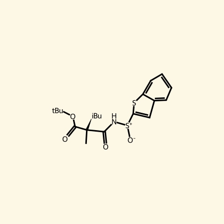 CC[C@H](C)C(C)(C(=O)N[S+]([O-])c1cc2ccccc2s1)C(=O)OC(C)(C)C